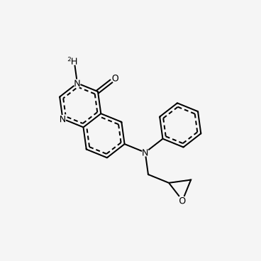 [2H]n1cnc2ccc(N(CC3CO3)c3ccccc3)cc2c1=O